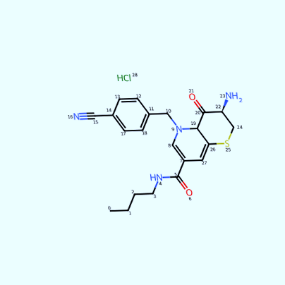 CCCCNC(=O)C1=CN(Cc2ccc(C#N)cc2)C2C(=O)[C@@H](N)CSC2=C1.Cl